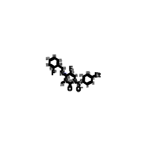 CCc1ccc([S+]([O-])n2cc(F)/c(=N\Cc3ccccc3F)n(C)c2=O)cc1